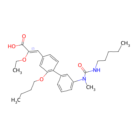 CCCCCNC(=O)N(C)c1cccc(-c2ccc(/C=C(\OCC)C(=O)O)cc2OCCCC)c1